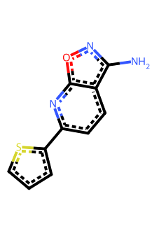 Nc1noc2nc(-c3cccs3)ccc12